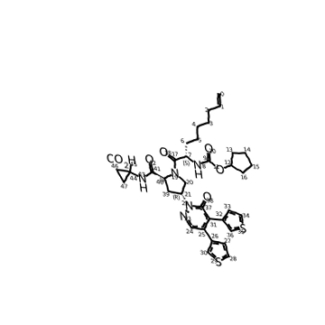 C=CCCCCC[C@H](NC(=O)OC1CCCC1)C(=O)N1C[C@H](n2ncc(-c3ccsc3)c(-c3ccsc3)c2=O)C[C@H]1C(=O)NC1(C(=O)O)CC1